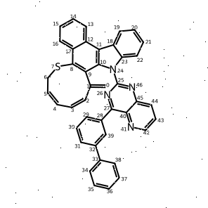 C=C1/C=C\C=C/CSc2c1c1c(c3ccccc23)c2ccccc2n1-c1nc(-c2cccc(-c3ccccc3)c2)c2ncccc2n1